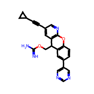 N=C(N)OCC1c2cc(-c3cncnc3)ccc2Oc2ncc(C#CC3CC3)cc21